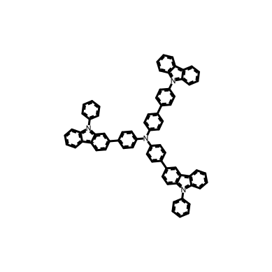 c1ccc(-n2c3ccccc3c3cc(-c4ccc(N(c5ccc(-c6ccc(-n7c8ccccc8c8ccccc87)cc6)cc5)c5ccc(-c6ccc7c8ccccc8n(-c8ccccc8)c7c6)cc5)cc4)ccc32)cc1